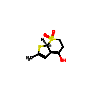 CC1=CC2=C(O)CCS(=O)(=O)[C@@H]2S1